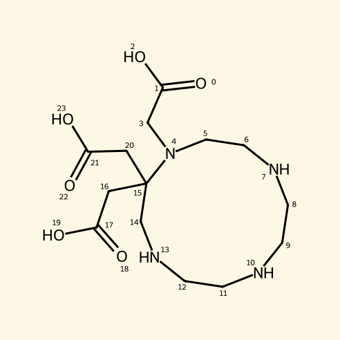 O=C(O)CN1CCNCCNCCNCC1(CC(=O)O)CC(=O)O